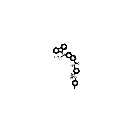 Cc1ccc(OS(=O)(=O)c2cccc(NC(=O)c3ccc4ccc(N(C(=O)O)C5c6ccccc6-c6ccccc65)cc4c3)c2)cc1